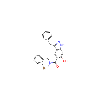 CN(Cc1ccccc1Br)C(=O)c1cc2c(Cc3ccccc3)n[nH]c2cc1O